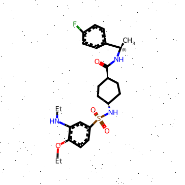 CCNc1cc(S(=O)(=O)N[C@H]2CC[C@H](C(=O)N[C@H](C)c3ccc(F)cc3)CC2)ccc1OCC